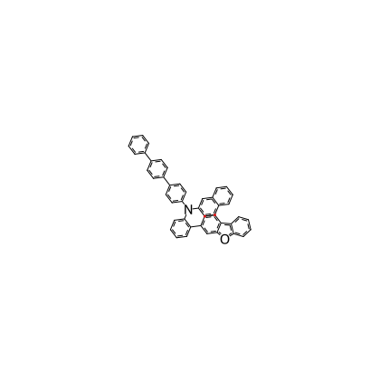 c1ccc(-c2ccc(-c3ccc(N(c4ccc5ccccc5c4)c4ccccc4-c4ccc5c(c4)oc4ccccc45)cc3)cc2)cc1